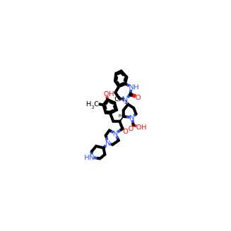 Cc1cc(CC(C(=O)N2CCN(C3CCNCC3)CC2)[C@H]2CC(N3CCc4ccccc4NC3=O)CCN2C(=O)O)cc(C)c1O